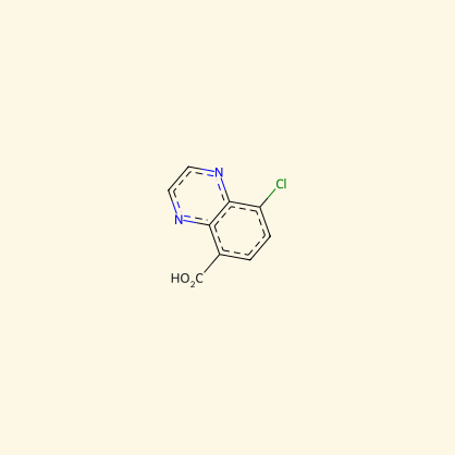 O=C(O)c1ccc(Cl)c2nccnc12